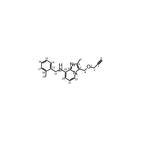 C#CCOCc1c(C)nc2c(NCc3ccccc3C)cccn12